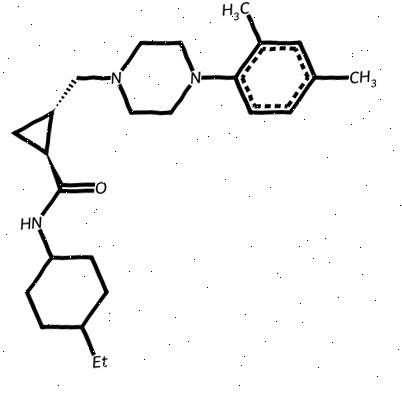 CCC1CCC(NC(=O)[C@H]2C[C@@H]2CN2CCN(c3ccc(C)cc3C)CC2)CC1